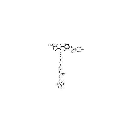 CN1CCN(C(=O)Oc2ccc3c(c2)CC(CCCCCCCCC[S+]([O-])CCCC(F)(F)C(F)(F)F)C2C3CCC3(C)C(O)CCC23)CC1